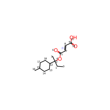 CCC(C)(OC(=O)/C=C/C(=O)O)C1CCC(C)CC1